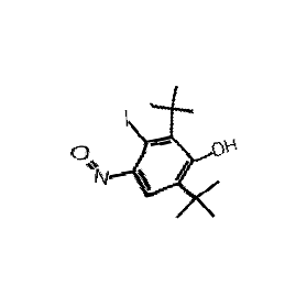 CC(C)(C)c1cc(N=O)c(I)c(C(C)(C)C)c1O